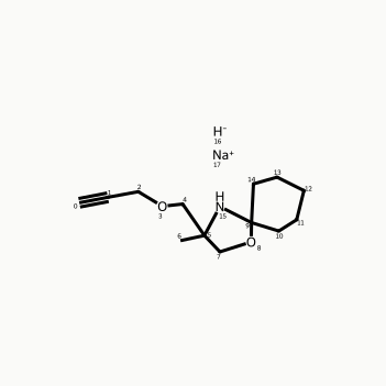 C#CCOCC1(C)COC2(CCCCC2)N1.[H-].[Na+]